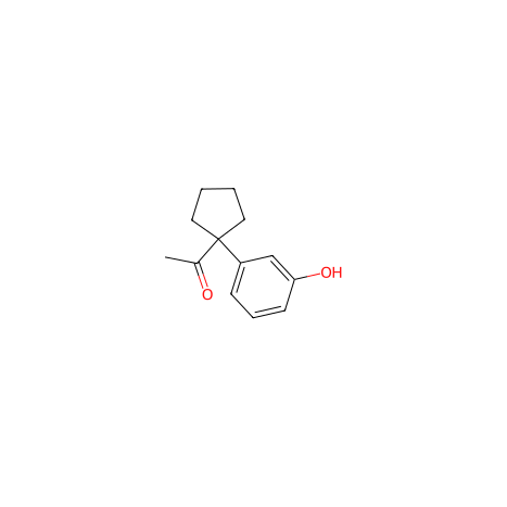 CC(=O)C1(c2cccc(O)c2)CCCC1